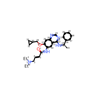 CCN(CC)CC=CC(=O)Nc1cc2c(N[C@H](C)c3ccccc3)ncnc2cc1OCC1CC1